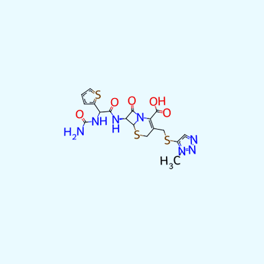 Cn1nncc1SCC1=C(C(=O)O)N2C(=O)[C@H](NC(=O)C(NC(N)=O)c3cccs3)C2SC1